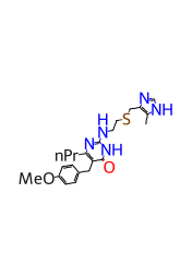 CCCc1nc(NCCSCc2nc[nH]c2C)[nH]c(=O)c1Cc1ccc(OC)cc1